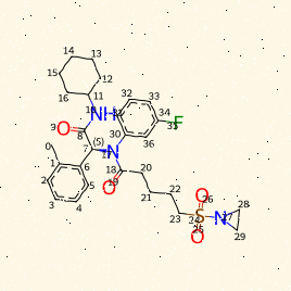 Cc1ccccc1[C@@H](C(=O)NC1CCCCC1)N(C(=O)CCCCS(=O)(=O)N1CC1)c1cccc(F)c1